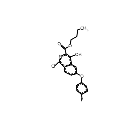 CCCCOC(=O)c1nc(Cl)c2ccc(Oc3ccc(F)cc3)cc2c1O